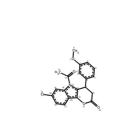 COc1cccc(C2CC(=O)Oc3c2n(C(C)=O)c2cc(Cl)ccc32)c1